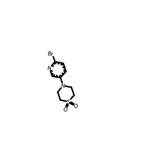 O=S1(=O)CCN(c2ccc(Br)nc2)CC1